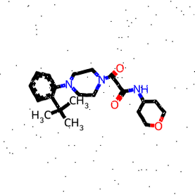 CC(C)(C)c1ccccc1N1CCN(C(=O)C(=O)NC2CCOCC2)CC1